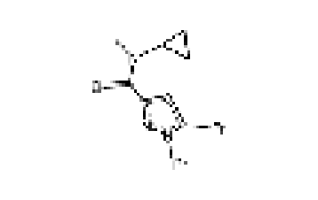 CC(C)c1cc(C(=O)N(C)C2CC2)nn1C(C)C